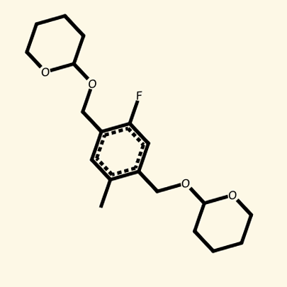 Cc1cc(COC2CCCCO2)c(F)cc1COC1CCCCO1